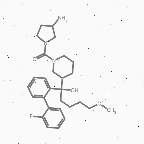 COCCCCC(O)(c1ccccc1-c1ccccc1F)C1CCCN(C(=O)N2CCC(N)C2)C1